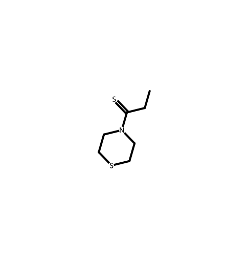 CCC(=S)N1CCSCC1